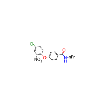 CCCNC(=O)c1ccc(Oc2ccc(Cl)cc2[N+](=O)[O-])cc1